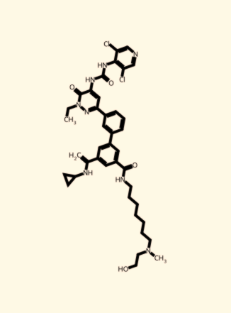 C=C(NC1CC1)c1cc(C(=O)NCCCCCCCN(C)CCO)cc(-c2cccc(-c3cc(NC(=O)Nc4c(Cl)cncc4Cl)c(=O)n(CC)n3)c2)c1